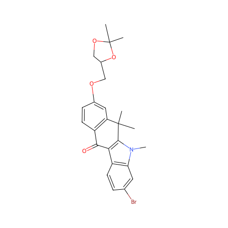 Cn1c2c(c3ccc(Br)cc31)C(=O)c1ccc(OCC3COC(C)(C)O3)cc1C2(C)C